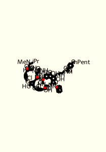 CCCCCOc1ccc(S(=O)(=O)NCCCNCc2c(O)cc3c4c2C(O)(O)c2ccc(cc2-4)[C@H]2NC(=O)[C@@H]4NC(=O)[C@H](CC(N)=O)NC(=O)[C@H](NC(=O)[C@@H](CC(C)C)NC)[C@H](O)c5ccc(c(Cl)c5)Oc5cc4cc(c5O)Oc4ccc(cc4Cl)[C@@H](O)[C@H](NC2=O)C(=O)N[C@@H]3C(=O)NC2C3CC4CC(C3)CC2C4)cc1